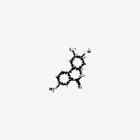 Cc1ccc2c(c1)c(=O)oc1cc(O)c(Cl)cc12